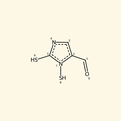 O=Cc1cnc(S)n1S